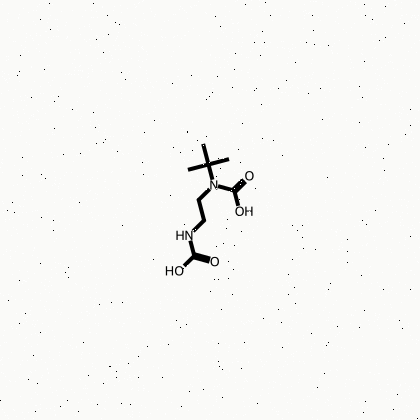 CC(C)(C)N(CCNC(=O)O)C(=O)O